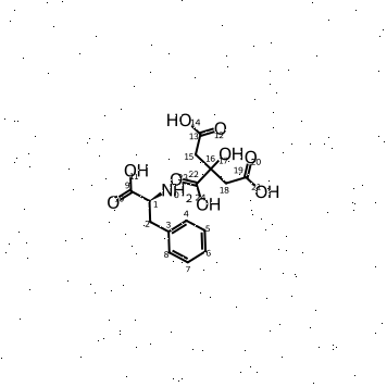 N[C@@H](Cc1ccccc1)C(=O)O.O=C(O)CC(O)(CC(=O)O)C(=O)O